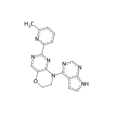 Cc1cccc(-c2ncc3c(n2)N(c2ncnc4[nH]ccc24)CCO3)n1